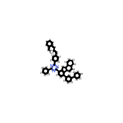 C/C=c1/cccc/c1=C/C=C/c1ccc(-c2nc(-c3ccccc3)nc(-c3ccc(-c4cccc(-c5ccccc5)c4)c4c3CC3C4C=CC4CCC=CC43)n2)cc1